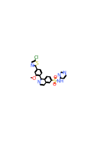 COc1cc(-c2ncc(Cl)s2)ccc1-c1nccc2cc(S(=O)(=O)Nc3ccncn3)ccc12